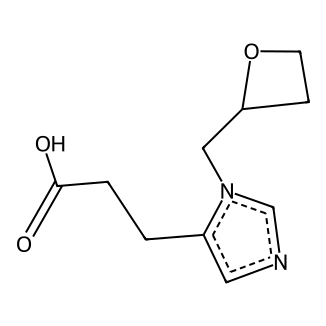 O=C(O)CCc1cncn1CC1CCO1